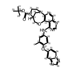 Cc1cc(Nc2ncnc3cnc4c(c23)OC[C@H]2CN4CCN2C(=O)OC(C)(C)C)ccc1Oc1ccn2ncnc2c1